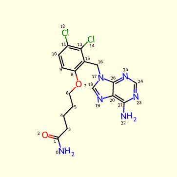 NC(=O)CCCCOc1ccc(Cl)c(Cl)c1Cn1cnc2c(N)ncnc21